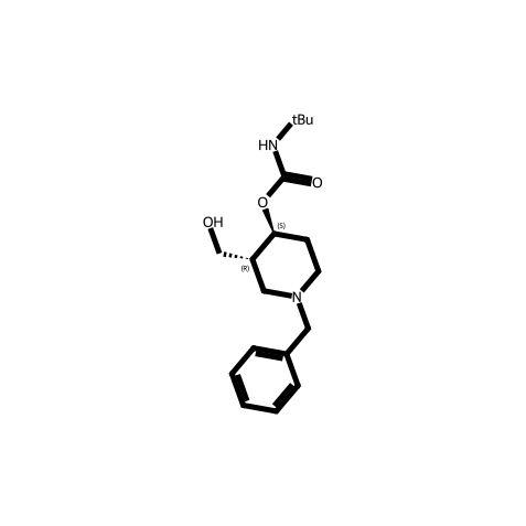 CC(C)(C)NC(=O)O[C@H]1CCN(Cc2ccccc2)C[C@@H]1CO